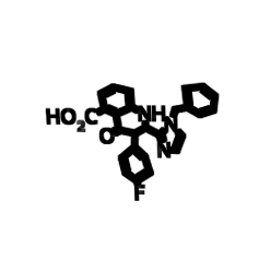 O=C(O)c1cccc2c1C(=O)C(c1ccc(F)cc1)C(c1nccn1Cc1ccccc1)N2